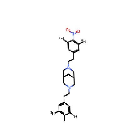 [3H]c1cc(CCN2CC3CC(C2)CN(CCc2cc([3H])c([N+](=O)[O-])c([3H])c2)C3)cc([3H])c1C